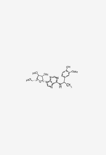 COc1cc(C(C)Nc2ncnc3c2ncn3[C@@H]2O[C@H](CO)C(O)C2O)ccc1O